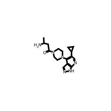 CC(N)CC(=O)N1CCN(c2c(C3CC3)cnc3[nH]ncc23)CC1